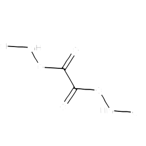 O=C([O][InH][Cl])C(=O)[O][InH][Cl]